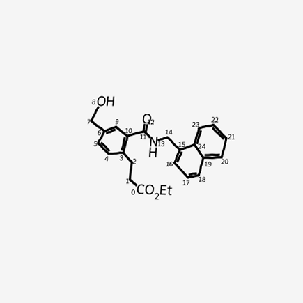 CCOC(=O)CCc1ccc(CO)cc1C(=O)NCc1cccc2ccccc12